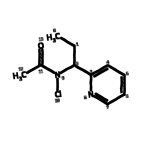 CCC(c1ccccn1)N(Cl)C(C)=O